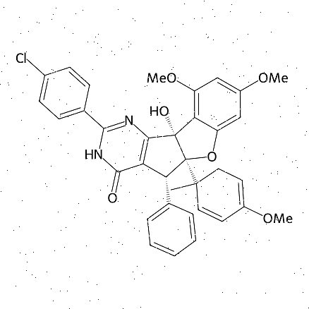 COC1=CCC(C)([C@@]23Oc4cc(OC)cc(OC)c4[C@]2(O)c2nc(-c4ccc(Cl)cc4)[nH]c(=O)c2[C@H]3c2ccccc2)C=C1